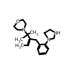 CC=C(Cc1ccccc1N1CCNC1)C(C)(C)N1CCOCC1